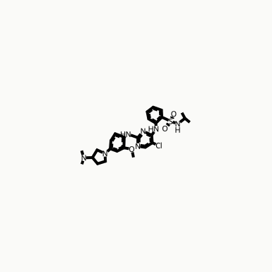 COc1cc(N2CCC(N(C)C)C2)ccc1Nc1ncc(Cl)c(Nc2ccccc2S(=O)(=O)NC(C)C)n1